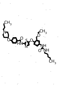 CCCCCNC(=O)Nc1ccc(Oc2cnc(NC(=O)c3ccc(OC4CCN(CCCC)CC4)cc3)s2)c(COCC)c1